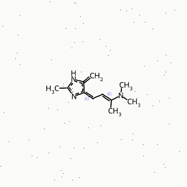 C=c1[nH]c(C)n/c1=C/C=C(\C)N(C)C